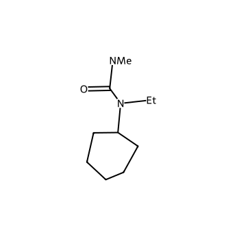 CCN(C(=O)NC)C1CCCCC1